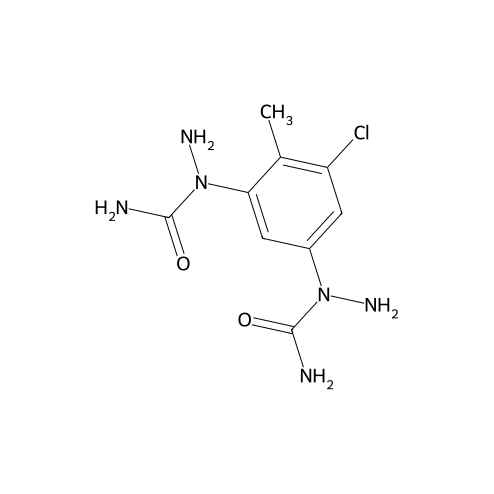 Cc1c(Cl)cc(N(N)C(N)=O)cc1N(N)C(N)=O